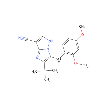 COc1ccc([AsH]c2c(C(C)(C)C)nc3c(C#N)c[nH]n23)c(OC)c1